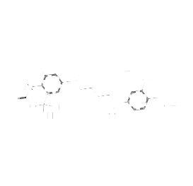 COc1ccc([S+]([O-])CCCCOc2cc(C)c3c(c2)C(C)(C)OC(=O)N3)cc1OC